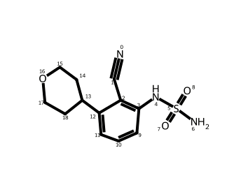 N#Cc1c(NS(N)(=O)=O)cccc1C1CCOCC1